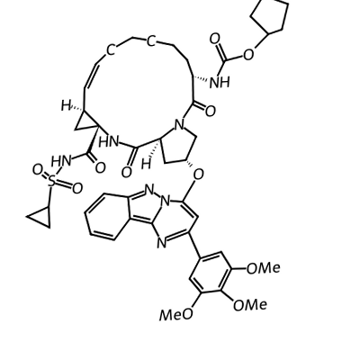 COc1cc(-c2cc(O[C@@H]3C[C@H]4C(=O)N[C@]5(C(=O)NS(=O)(=O)C6CC6)C[C@H]5/C=C\CCCCC[C@H](NC(=O)OC5CCCC5)C(=O)N4C3)n3nc4ccccc4c3n2)cc(OC)c1OC